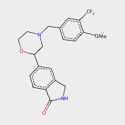 COc1ccc(CN2CCOC(c3ccc4c(c3)CNC4=O)C2)cc1C(F)(F)F